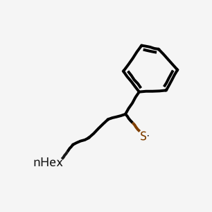 CCCCCCCCCC([S])c1ccccc1